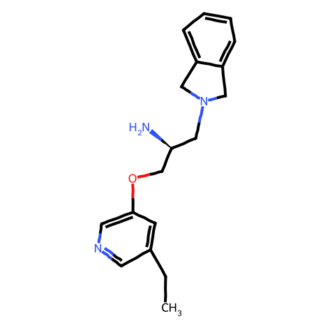 CCc1cncc(OC[C@@H](N)CN2Cc3ccccc3C2)c1